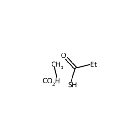 CC(=O)O.CCC(=O)S